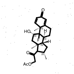 CC(=O)OCC(=O)[C]1[C@@H](C)C[C@H]2[C@@H]3CCC4=CC(=O)C=C[C@]4(C)C3(F)[C@@H](O)C[C@]12C